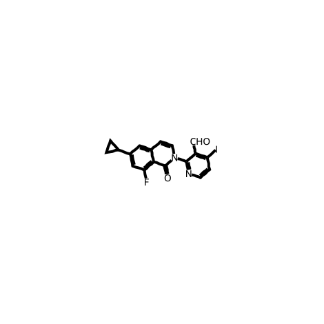 O=Cc1c(I)ccnc1-n1ccc2cc(C3CC3)cc(F)c2c1=O